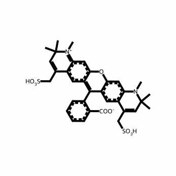 CN1c2cc3c(cc2C(CS(=O)(=O)O)=CC1(C)C)C(c1ccccc1C(=O)[O-])=c1cc2c(cc1O3)=[N+](C)C(C)(C)C=C2CS(=O)(=O)O